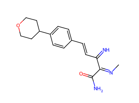 C/N=C(\C(=N)/C=C/c1ccc(C2CCOCC2)cc1)C(N)=O